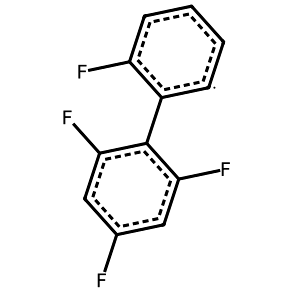 Fc1cc(F)c(-c2[c]cccc2F)c(F)c1